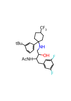 CC(=O)NC(Cc1cc(F)cc(F)c1)C(O)CNC1(c2cccc(C(C)(C)C)c2)CCC(C(F)(F)F)CC1